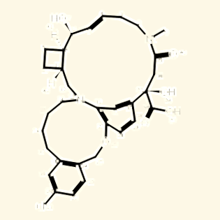 CN1CC/C=C/[C@H](O)[C@@H]2CC[C@H]2CN2CCCCc3cc(Cl)ccc3COc3ccc(cc32)[C@@](O)(C(=O)O)CC1=O